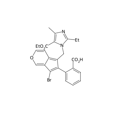 CCOC(=O)c1c(C)nc(CC)n1Cc1c2ccocc-2c(Br)c1-c1ccccc1C(=O)O